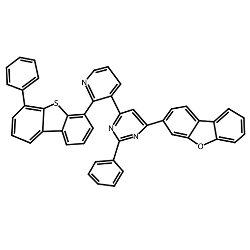 c1ccc(-c2nc(-c3ccc4c(c3)oc3ccccc34)cc(-c3cccnc3-c3cccc4c3sc3c(-c5ccccc5)cccc34)n2)cc1